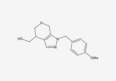 COc1ccc(Cn2ncc3c2COCC3CO)cc1